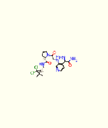 CC1(C)[C@@H](CNC(=O)[C@@H]2CCCN2C(=O)CNc2cnccc2C(=N)C(N)=O)C1(Cl)Cl